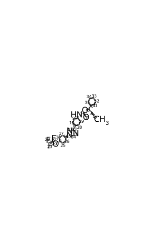 CC#CC(OC(=O)Nc1ccc(-c2ncn(-c3ccc(OC(F)(F)F)cc3)n2)cc1)c1ccccc1